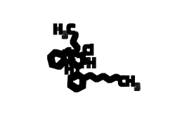 CCCCCCc1ccccc1[C@H]1PC(Cl)[PH]2(CCCC)Cc3ccccc3[C@H]12